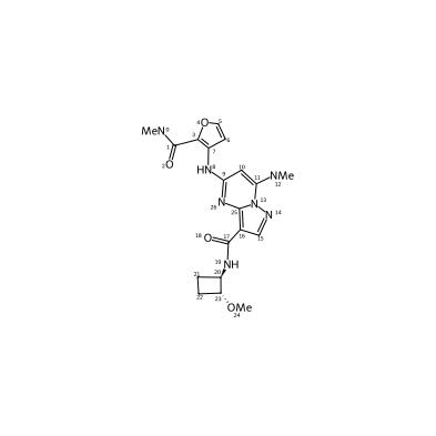 CNC(=O)c1occc1Nc1cc(NC)n2ncc(C(=O)N[C@@H]3CC[C@H]3OC)c2n1